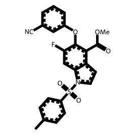 COC(=O)c1c(Oc2cccc(C#N)c2)c(F)cc2c1ccn2S(=O)(=O)c1ccc(C)cc1